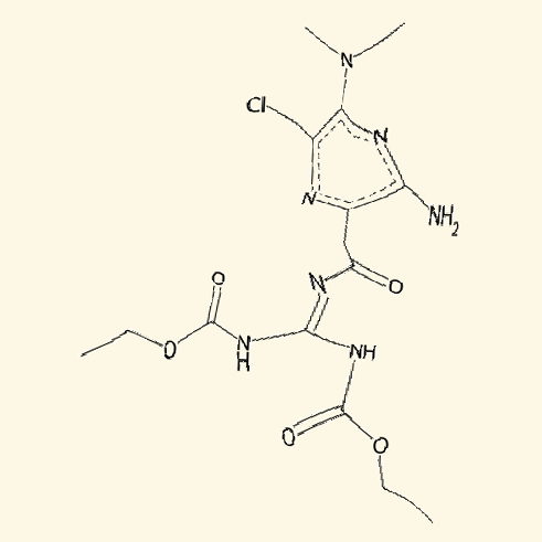 CCOC(=O)NC(=NC(=O)c1nc(Cl)c(N(C)C)nc1N)NC(=O)OCC